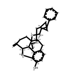 C=C1CCC2(OCCCc3ccccc3)[C@H]3Cc4ccc(O)c5c4[C@@]2(CCN3CC2CC2)[C@H]1O5